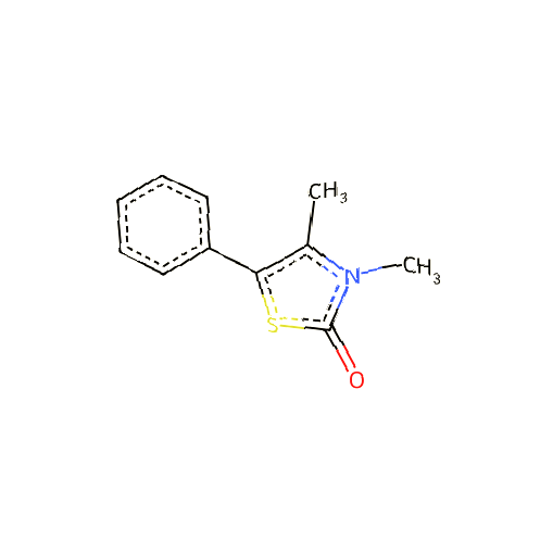 Cc1c(-c2ccccc2)sc(=O)n1C